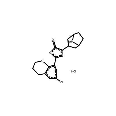 CCCCN1C2CCC1CC(n1nc(-c3cc(Cl)cc4c3OCCC4)oc1=O)C2.Cl